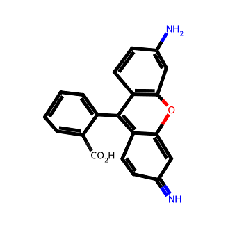 N=c1ccc2c(-c3ccccc3C(=O)O)c3ccc(N)cc3oc-2c1